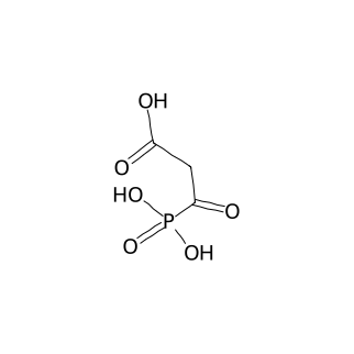 O=C(O)CC(=O)P(=O)(O)O